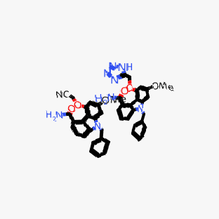 COc1cc(OCC#N)c2c3c(C(N)=O)cccc3n(Cc3ccccc3)c2c1.COc1cc(OCc2nnn[nH]2)c2c3c(C(N)=O)cccc3n(Cc3ccccc3)c2c1